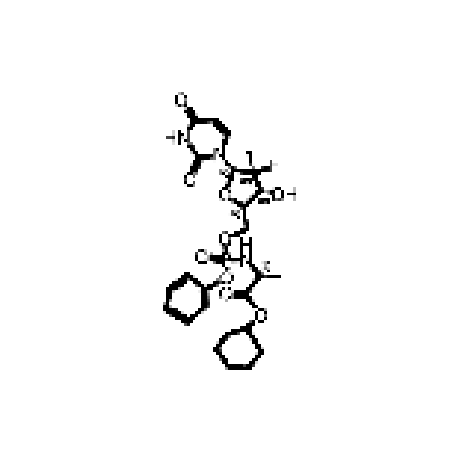 C[C@H](NP(=O)(OC[C@H]1O[C@@H](n2ccc(=O)[nH]c2=O)[C@](C)(F)[C@@H]1O)Oc1ccccc1)C(=O)OC1CCCCC1